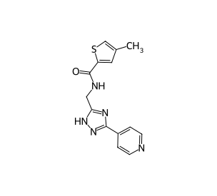 Cc1csc(C(=O)NCc2nc(-c3ccncc3)n[nH]2)c1